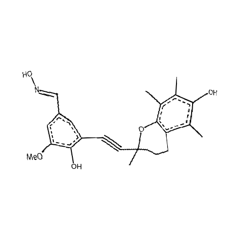 COc1cc(/C=N/O)cc(C#CC2(C)CCc3c(C)c(O)c(C)c(C)c3O2)c1O